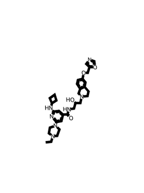 CCN1CCN(c2cc(C(=O)NCC(O)CN3CCc4cc(OCc5cnco5)ccc4C3)cc(NC3CCC3)n2)CC1